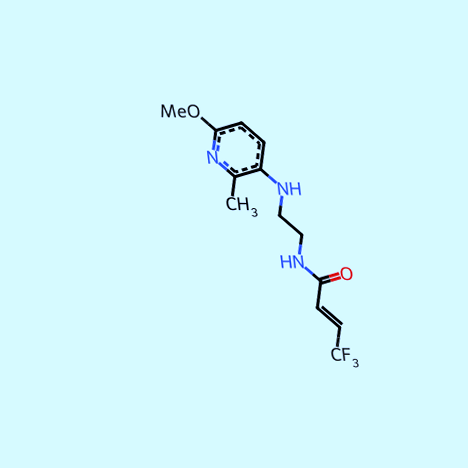 COc1ccc(NCCNC(=O)/C=C/C(F)(F)F)c(C)n1